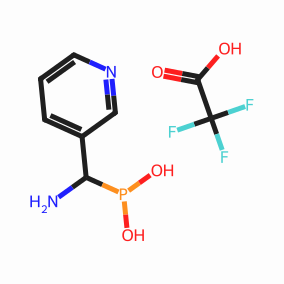 NC(c1cccnc1)P(O)O.O=C(O)C(F)(F)F